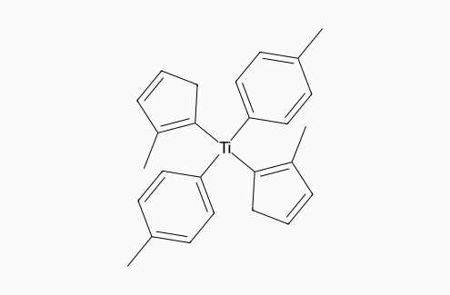 CC1=[C]([Ti]([C]2=C(C)C=CC2)([c]2ccc(C)cc2)[c]2ccc(C)cc2)CC=C1